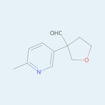 Cc1ccc(C2(C=O)CCOC2)cn1